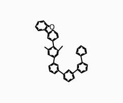 Cc1cc(-c2cccc(-c3cccc(-c4cccc(-c5ccccc5)c4)c3)c2)cc(C)c1-c1ccc2oc3ccccc3c2c1